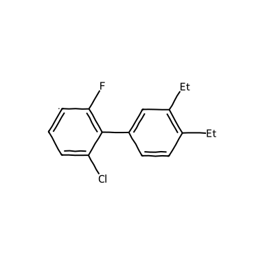 CCc1ccc(-c2c(F)[c]ccc2Cl)cc1CC